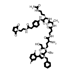 C[C@H](NC(=O)CCNC(=O)[C@@H](N)CCN(C(=O)CO)[C@@H](c1nc(-c2cc(F)ccc2F)cn1Cc1ccccc1)C(C)(C)C)C(=O)N[C@@H](CCCNC(N)=O)C(=O)Nc1ccc(CC(=O)NCCN2C(=O)C=CC2=O)cc1